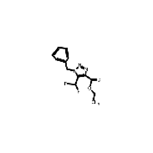 CCOC(=O)c1nnn(Cc2ccccc2)c1C(F)F